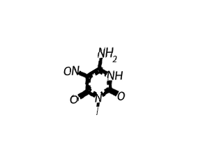 Nc1[nH]c(=O)n(I)c(=O)c1N=O